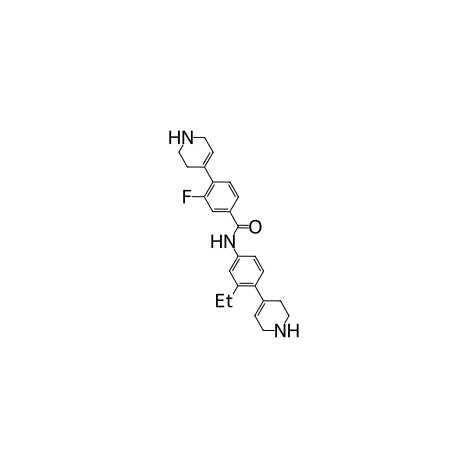 CCc1cc(NC(=O)c2ccc(C3=CCNCC3)c(F)c2)ccc1C1=CCNCC1